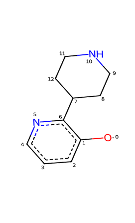 [O]c1cccnc1C1CCNCC1